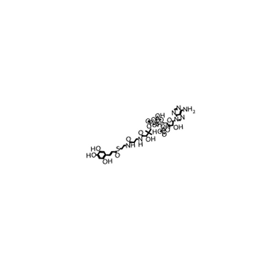 CC(C)(COP(=O)(O)OP(=O)(O)OC[C@H]1O[C@@H](n2cnc3c(N)ncnc32)[C@H](O)[C@@H]1OP(=O)(O)O)[C@@H](O)C(=O)NCCC(=O)NCCSC(=O)/C=C/c1cc(O)c(O)cc1O